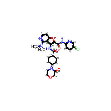 CN(C)c1nccc2oc(C(=O)Nc3ccc(Cl)cn3)c(NC(=O)[C@H]3CC[C@H](N4CCOCC4=O)CC3)c12